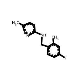 Cc1ccc(NCc2ccc(F)cc2C)nn1